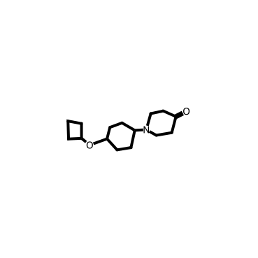 O=C1CCN(C2CCC(OC3CCC3)CC2)CC1